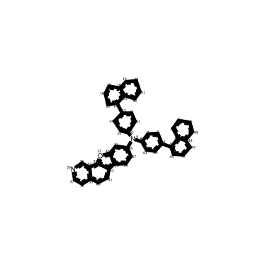 c1ccc2c(-c3ccc(N(c4ccc(-c5cccc6ccccc56)cc4)c4ccc5c(c4)oc4c6cnccc6ccc54)cc3)cccc2c1